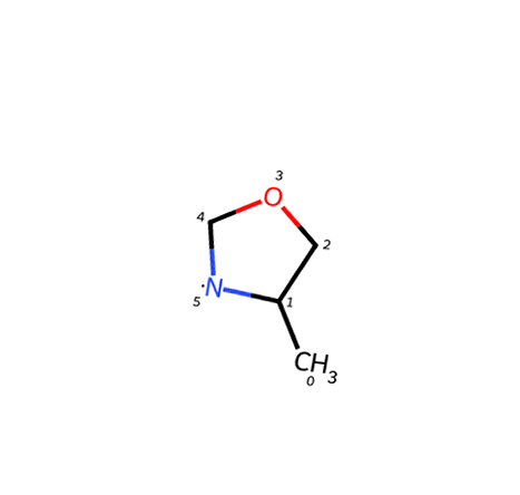 CC1COC[N]1